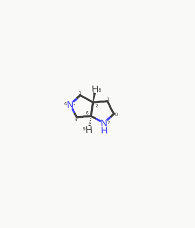 C1C[C@H]2C[N]C[C@@H]2N1